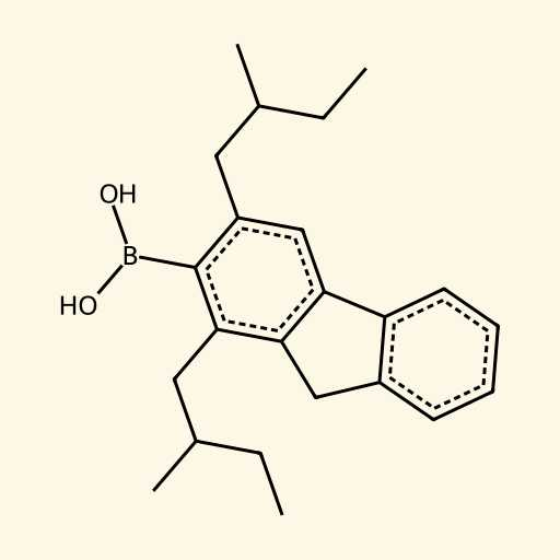 CCC(C)Cc1cc2c(c(CC(C)CC)c1B(O)O)Cc1ccccc1-2